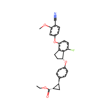 CCOC(=O)[C@H]1C[C@@H]1c1ccc(O[C@@H]2CCc3c(Oc4ccc(C#N)c(OC)c4)ccc(F)c32)cc1